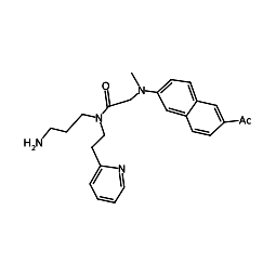 CC(=O)c1ccc2cc(N(C)CC(=O)N(CCCN)CCc3ccccn3)ccc2c1